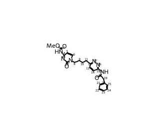 COC(=O)Nc1ccn(CCCCc2ccc(NC(=O)Cc3ccccc3)nn2)c(=O)n1